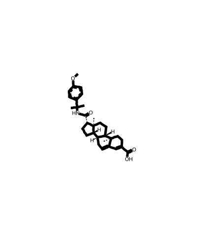 COc1ccc(C(C)(C)NC(=O)[C@H]2CC[C@H]3[C@@H]4CC=C5C=C(C(=O)O)CC[C@]5(C)[C@H]4CC[C@]23C)cc1